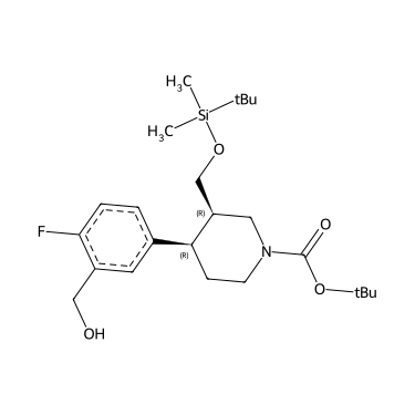 CC(C)(C)OC(=O)N1CC[C@@H](c2ccc(F)c(CO)c2)[C@@H](CO[Si](C)(C)C(C)(C)C)C1